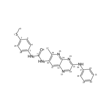 CSc1ccc(NC(=O)Nc2cc3ncc(Nc4ccccc4)nc3nc2C)cc1